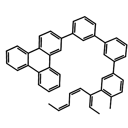 C\C=C/C=C\C(=C\C)c1cc(-c2cccc(-c3cccc(-c4ccc5c6ccccc6c6ccccc6c5c4)c3)c2)ccc1C